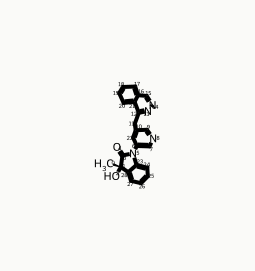 C[C@@]1(O)C(=O)N(c2cncc(Cc3nncc4ccccc34)c2)c2ccccc21